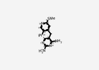 CSc1cc(Cc2cnc(N)nc2N)c(C(C)C)cn1